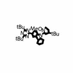 COc1cc2c(cc1-c1nc(C(C)(C)C)nc(C(C)(C)C)n1)c1ccccc1n2-c1cc(C(C)(C)C)ccn1